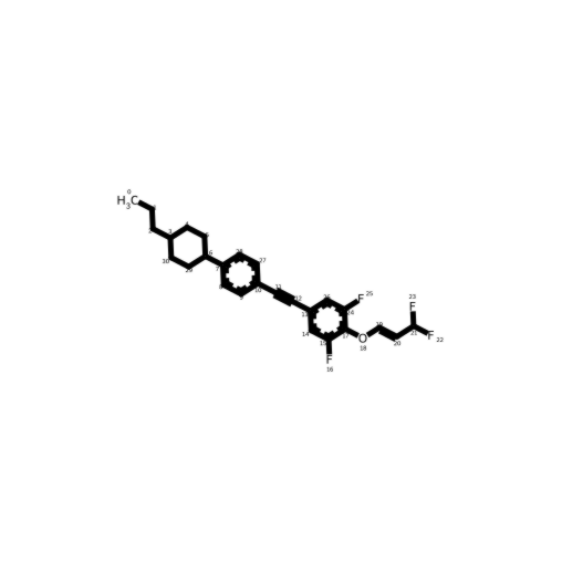 CCCC1CCC(c2ccc(C#Cc3cc(F)c(O/C=C/C(F)F)c(F)c3)cc2)CC1